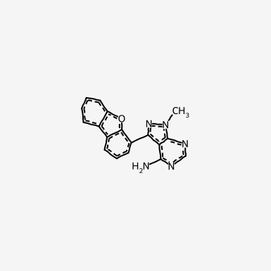 Cn1nc(-c2cccc3c2oc2ccccc23)c2c(N)ncnc21